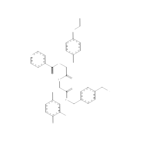 CCOc1ccc(C[C@@H](NC(=O)c2ccncc2)C(=O)N[C@@H](Cc2ccc(F)c(F)c2)C(=O)NCc2ccc(CN)cc2)cc1